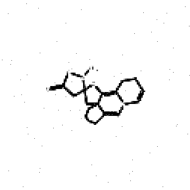 CN1OC(=O)CC12CC13CCCCC1=CN1C=CCCC1=C3O2